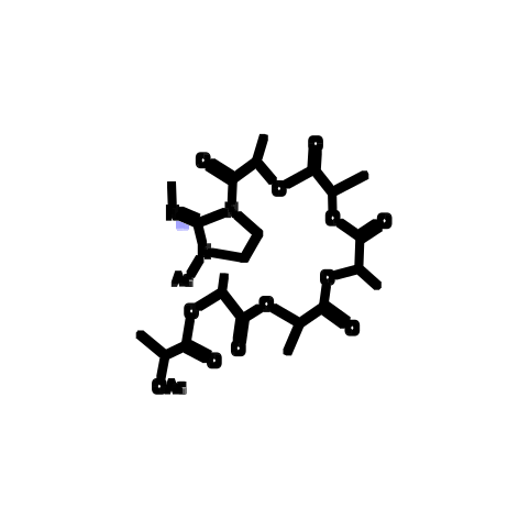 C/N=C1/N(C(C)=O)CCN1C(=O)C(C)OC(=O)C(C)OC(=O)C(C)OC(=O)C(C)OC(=O)C(C)OC(=O)C(C)OC(C)=O